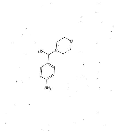 Nc1ccc(C(S)N2CCOCC2)cc1